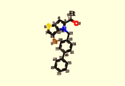 CCC(=O)c1cc2scc(Br)c2n1Cc1ccc(-c2ccccc2)cc1